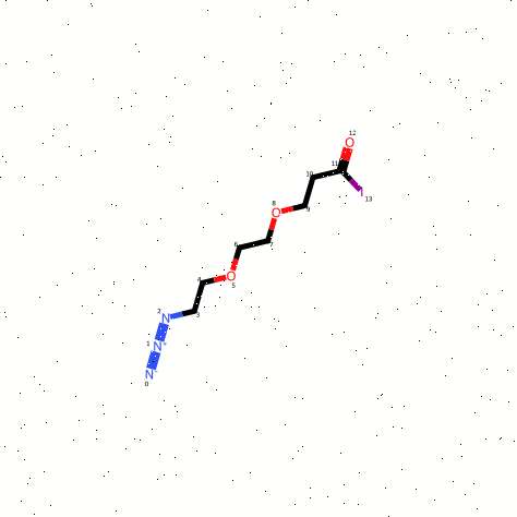 [N-]=[N+]=NCCOCCOCCC(=O)I